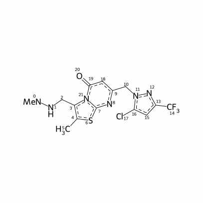 CNNCc1c(C)sc2nc(Cn3nc(C(F)(F)F)cc3Cl)cc(=O)n12